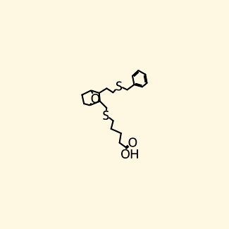 O=C(O)CCCCSCC1C2CCC(O2)C1CCSCc1ccccc1